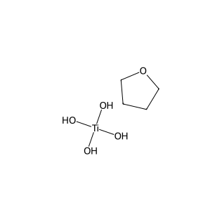 C1CCOC1.[OH][Ti]([OH])([OH])[OH]